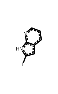 Ic1cc2cccnc2[nH]1